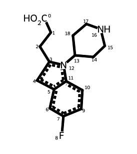 O=C(O)CCc1cc2cc(F)ccc2n1C1CCNCC1